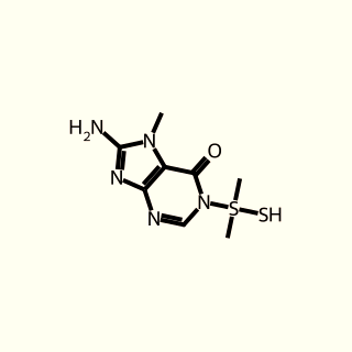 Cn1c(N)nc2ncn(S(C)(C)S)c(=O)c21